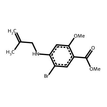 C=C(C)CNc1cc(OC)c(C(=O)OC)cc1Br